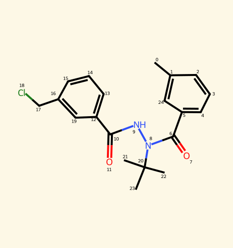 Cc1cccc(C(=O)N(NC(=O)c2cccc(CCl)c2)C(C)(C)C)c1